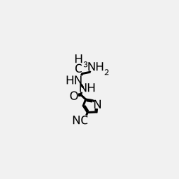 CC(CN)NNC(=O)c1cncc(C#N)c1